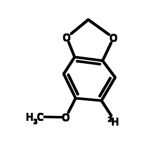 [2H]c1cc2c(cc1OC)OCO2